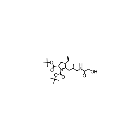 C=C[C@@H]1C[C@H](C(=O)OC(C)(C)C)N(C(=O)OC(C)(C)C)[C@@H]1CC(C)CNC(=O)CO